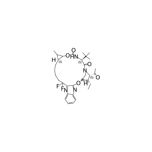 CC[C@@H]1[C@@H]2CN(C(=O)[C@H](C(C)(C)C)NC(=O)OC3C(C)[C@@H]3CCCCC(F)(F)c3nc4ccccc4nc3O2)[C@@H]1C(C)=O